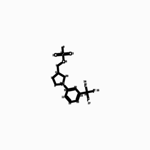 CS(=O)(=O)OCC1CCN(c2cccc(C(F)(F)F)c2)C1